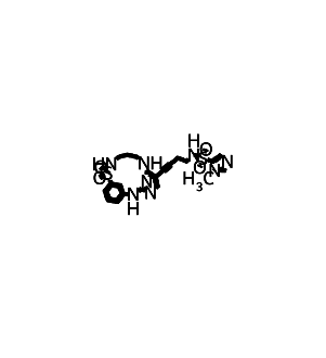 Cn1cncc1S(=O)(=O)NCCC#Cc1cnc2nc1NCCCNS(=O)(=O)c1cccc(c1)N2